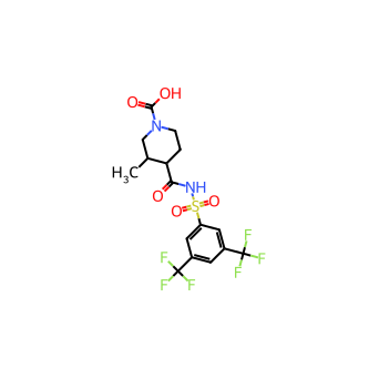 CC1CN(C(=O)O)CCC1C(=O)NS(=O)(=O)c1cc(C(F)(F)F)cc(C(F)(F)F)c1